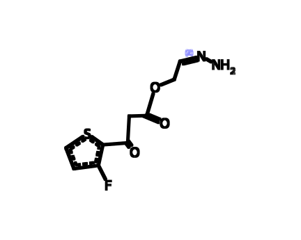 N/N=C\COC(=O)CC(=O)c1sccc1F